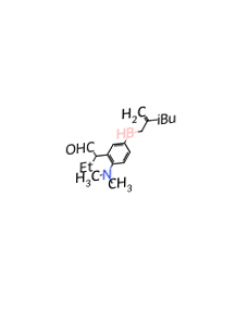 C=C(CBc1ccc(N(C)C)c(C(C=O)CC)c1)C(C)CC